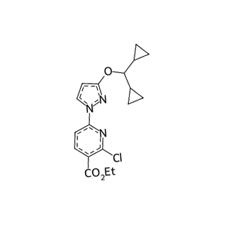 CCOC(=O)c1ccc(-n2ccc(OC(C3CC3)C3CC3)n2)nc1Cl